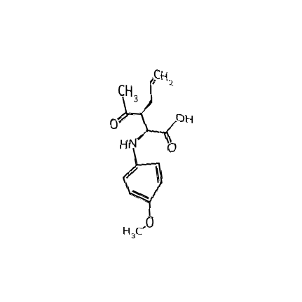 C=CC[C@H](C(C)=O)[C@H](Nc1ccc(OC)cc1)C(=O)O